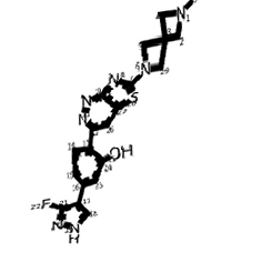 CN1CC2(C1)CN(c1nc3nnc(-c4ccc(-c5c[nH]nc5F)cc4O)cc3s1)C2